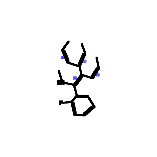 C\C=C/C(=C(/NC)c1ccccc1F)C(/C=C\C)=C/C